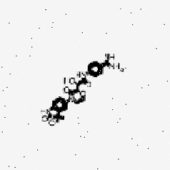 CC1(C)c2cc(N3CCO[C@H]([C@@H](O)C(=O)Nc4ccc(C(=N)N)cc4)C3=O)ccc2NS1(=O)=O